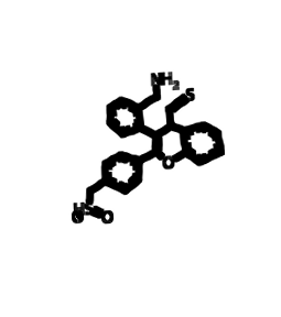 NCc1ccccc1C1=C(c2ccc(C[SH](=O)=O)cc2)Oc2ccccc2C1C=S